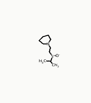 CC(C)[S+]([O-])CCN1CCCCC1